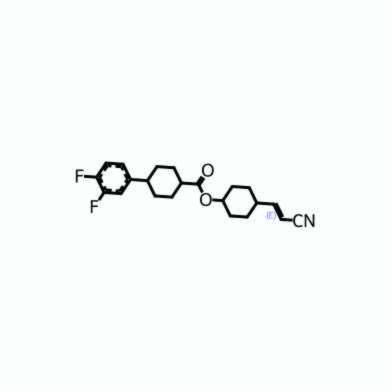 N#C/C=C/C1CCC(OC(=O)C2CCC(c3ccc(F)c(F)c3)CC2)CC1